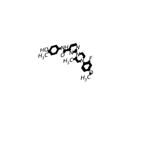 COc1ccc(N2CCN(c3nccc(C(=O)NC4CCC(C)(O)CC4)n3)C(C)C2)c(F)c1